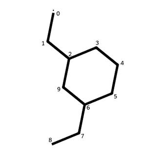 [CH2]CC1CCCC(CC)C1